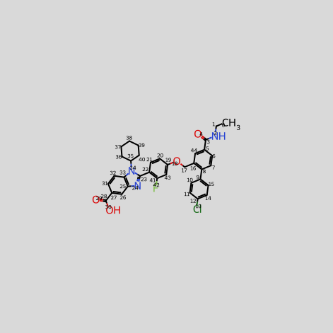 CCNC(=O)c1ccc(-c2ccc(Cl)cc2)c(COc2ccc(-c3nc4cc(C(=O)O)ccc4n3C3CCCCC3)c(F)c2)c1